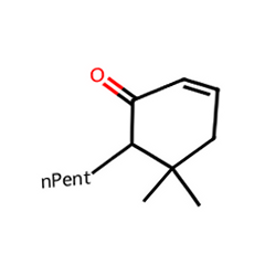 CCCCCC1C(=O)C=CCC1(C)C